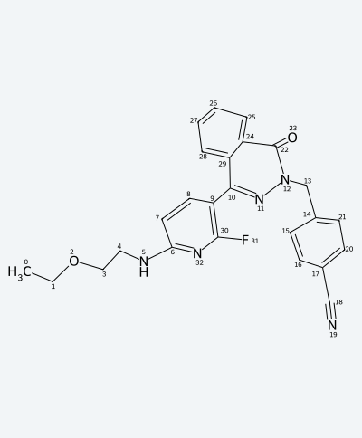 CCOCCNc1ccc(-c2nn(Cc3ccc(C#N)cc3)c(=O)c3ccccc23)c(F)n1